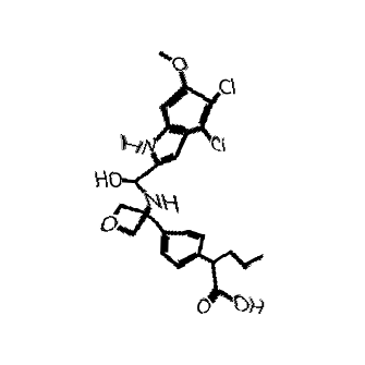 CCCC(C(=O)O)c1ccc(C2(NC(O)c3cc4c(Cl)c(Cl)c(OC)cc4[nH]3)COC2)cc1